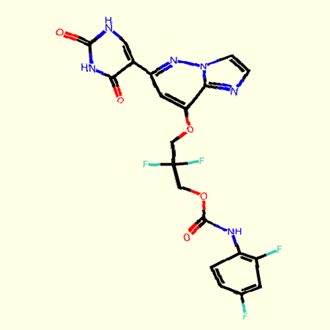 O=C(Nc1ccc(F)cc1F)OCC(F)(F)COc1cc(-c2c[nH]c(=O)[nH]c2=O)nn2ccnc12